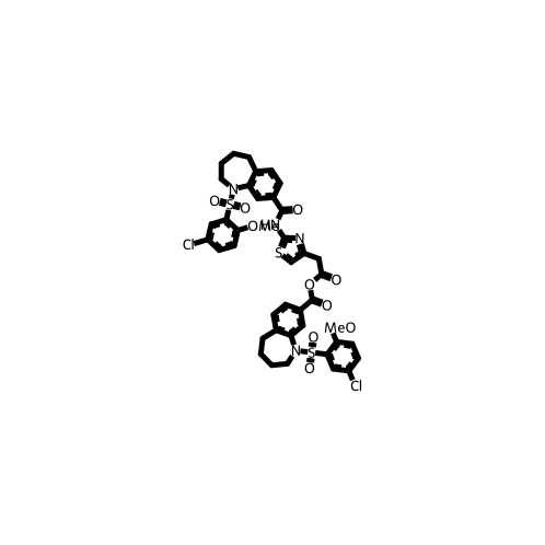 COc1ccc(Cl)cc1S(=O)(=O)N1CCCCc2ccc(C(=O)Nc3nc(CC(=O)OC(=O)c4ccc5c(c4)N(S(=O)(=O)c4cc(Cl)ccc4OC)CCCC5)cs3)cc21